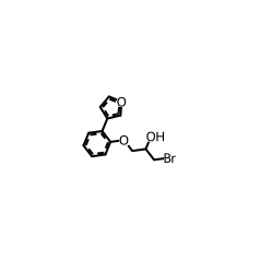 OC(CBr)COc1ccccc1-c1ccoc1